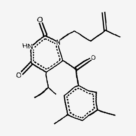 C=C(C)CCn1c(C(=O)c2cc(C)cc(C)c2)c(C(C)C)c(=O)[nH]c1=O